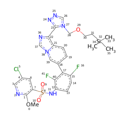 COc1ncc(Cl)cc1S(=O)(=O)Nc1ccc(F)c(-c2ccc3c(-c4nncn4COCC[Si](C)(C)C)ncn3c2)c1F